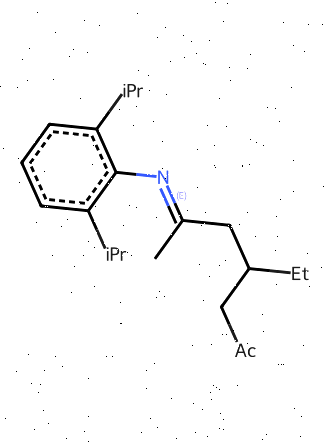 CCC(CC(C)=O)C/C(C)=N/c1c(C(C)C)cccc1C(C)C